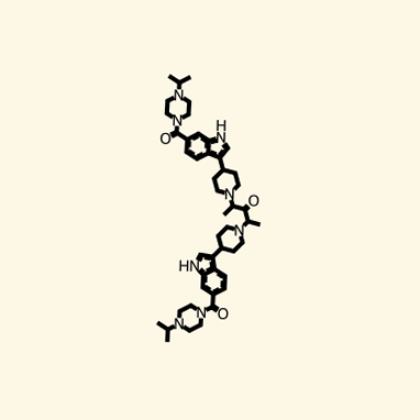 CC(C)N1CCN(C(=O)c2ccc3c(C4CCN(C(C)C(=O)C(C)N5CCC(c6c[nH]c7cc(C(=O)N8CCN(C(C)C)CC8)ccc67)CC5)CC4)c[nH]c3c2)CC1